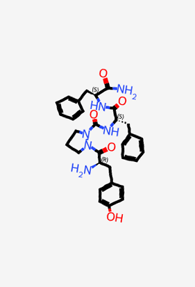 NC(=O)[C@H](Cc1ccccc1)NC(=O)[C@H](Cc1ccccc1)NC(=O)N1CCCN1C(=O)[C@H](N)Cc1ccc(O)cc1